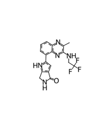 Cc1nc2cccc(-c3cc4c([nH]3)CNC4=O)c2nc1NCC(F)(F)F